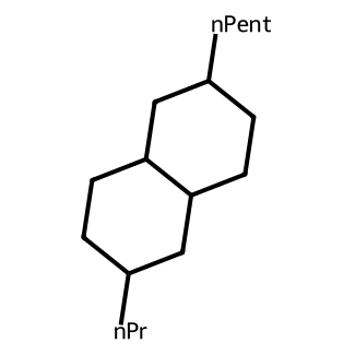 CCCCCC1CCC2CC(CCC)CCC2C1